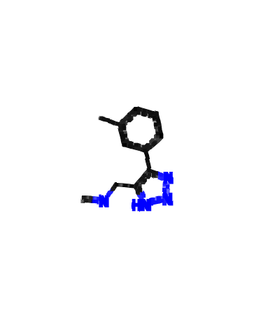 C=NCc1[nH]nnc1-c1cccc(C)c1